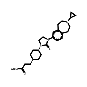 COC(=O)CC[C@H]1CC[C@H](N2CCN(c3ccc4c(c3)CCN(C3CC3)CC4)C2=O)CC1